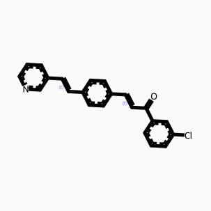 O=C(/C=C/c1ccc(/C=C/c2cccnc2)cc1)c1cccc(Cl)c1